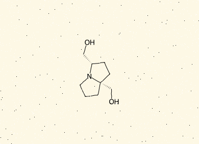 OC[C@@H]1CC[C@@]2(CO)CCCN12